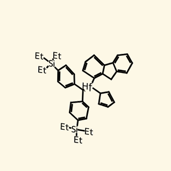 CC[Si](CC)(CC)c1ccc([C](c2ccc([Si](CC)(CC)CC)cc2)=[Hf]([c]2cccc3c2Cc2ccccc2-3)[CH]2C=CC=C2)cc1